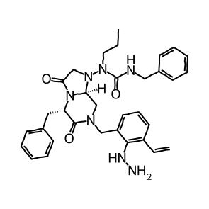 C=Cc1cccc(CN2C[C@H]3N(C(=O)CN3N(CCC)C(=O)NCc3ccccc3)[C@@H](Cc3ccccc3)C2=O)c1NN